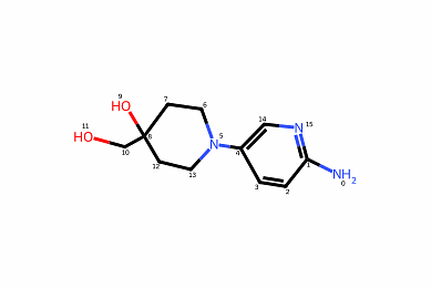 Nc1ccc(N2CCC(O)(CO)CC2)cn1